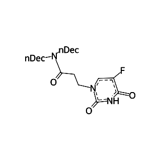 CCCCCCCCCCN(CCCCCCCCCC)C(=O)CCn1cc(F)c(=O)[nH]c1=O